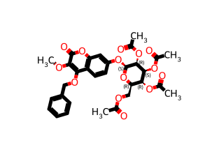 COc1c(OCc2ccccc2)c2ccc(O[C@@H]3O[C@H](COC(C)=O)[C@@H](OC(C)=O)[C@H](OC(C)=O)[C@H]3OC(C)=O)cc2oc1=O